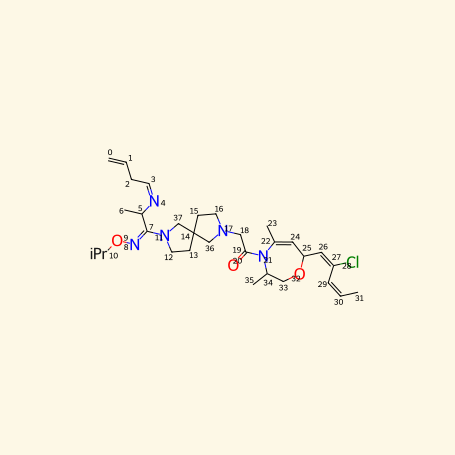 C=CC/C=N\C(C)/C(=N\OC(C)C)N1CCC2(CCN(CC(=O)N3C(C)=CC(/C=C(Cl)\C=C/C)OCC3C)C2)C1